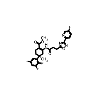 COC(=O)C1=C(NC(=O)CCc2nc(-c3ccc(F)cn3)no2)C[C@@](C)(c2cc(F)cc(F)c2F)CC1